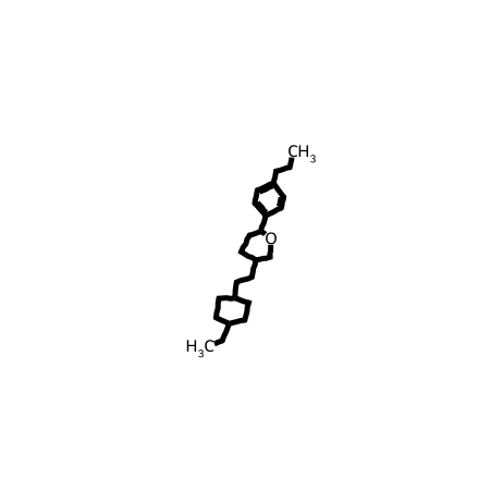 CCCc1ccc(C2CCC(CCC3CCC(CC)CC3)CO2)cc1